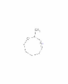 CC1/C=C\CCCCO1